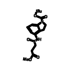 COC(=O)CC[S+]([O-])Nc1cccc2c1CCN2C(=O)OC(C)(C)C